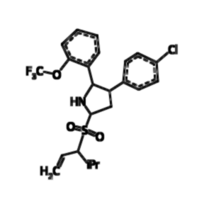 C=CC(C(C)C)S(=O)(=O)C1CC(c2ccc(Cl)cc2)C(c2ccccc2OC(F)(F)F)N1